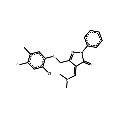 Cc1cc(OCC2=NN(c3ccccc3)C(=O)/C2=C/N(C)C)c(Cl)cc1Cl